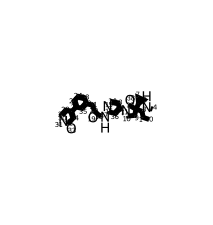 CCC(NC)C1(C2CC2)CCN(c2ccnc(NC3OC3Cc3cccc(-c4ccn(C)c(=O)c4)c3)c2)C1=O